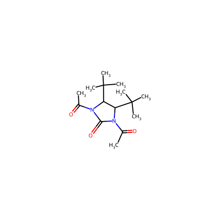 CC(=O)N1C(=O)N(C(C)=O)C(C(C)(C)C)C1C(C)(C)C